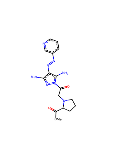 COC(=O)C1CCCN1CC(=O)n1nc(N)c(N=Nc2cccnc2)c1N